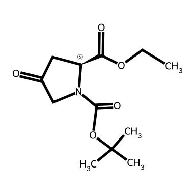 CCOC(=O)[C@@H]1CC(=O)CN1C(=O)OC(C)(C)C